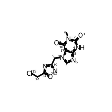 Cn1c(=O)[nH]c2ncn(Cc3noc(CCl)n3)c2c1=O